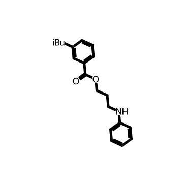 CCC(C)c1cccc(C(=O)OCCCNc2ccccc2)c1